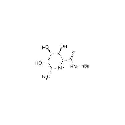 CCCCNC(=O)[C@@H]1N[C@H](C)[C@H](O)[C@@H](O)[C@H]1O